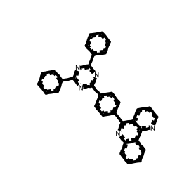 c1ccc(-c2nc(-c3ccccc3)nc(-c3ccc(-c4nc5ccccc5c5ncccc45)cc3)n2)cc1